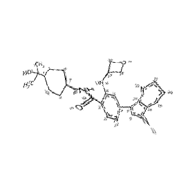 CC(C)(O)C1CCC(NC(=O)c2cnc(-c3cnc4cccnn34)cc2NC2COC2)CC1